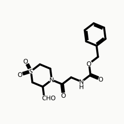 O=CC1CS(=O)(=O)CCN1C(=O)CNC(=O)OCc1ccccc1